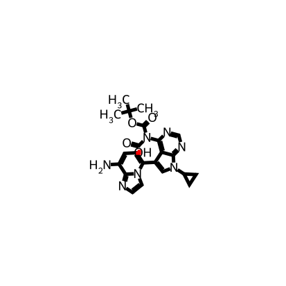 CC(C)(C)OC(=O)N(C(=O)O)c1ncnc2c1c(-c1ccc(N)c3nccn13)cn2C1CC1